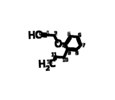 C#CCOc1ccccc1CC=C